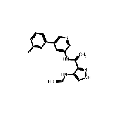 C=CNc1c[nH]nc1C(=C)Nc1cncc(-c2cccc(F)c2)c1